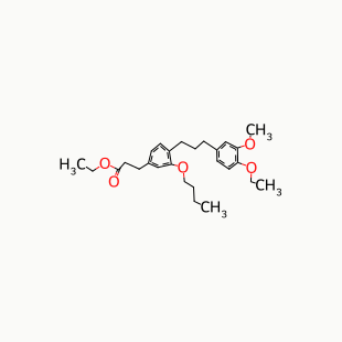 CCCCOc1cc(CCC(=O)OCC)ccc1CCCc1ccc(OCC)c(OC)c1